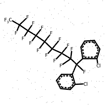 FC(F)(F)C(F)(F)C(F)(F)C(F)(F)C(F)(F)C(F)(F)C(F)(F)C(F)(F)C(F)(c1ccccc1Cl)c1ccccc1Cl